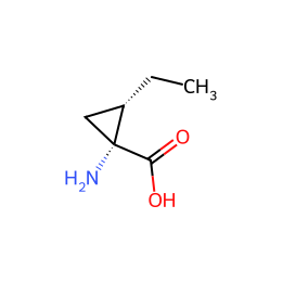 CC[C@H]1C[C@]1(N)C(=O)O